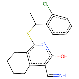 CC(Sc1nc(O)c(C=N)c2c1CCCC2)c1ccccc1Cl